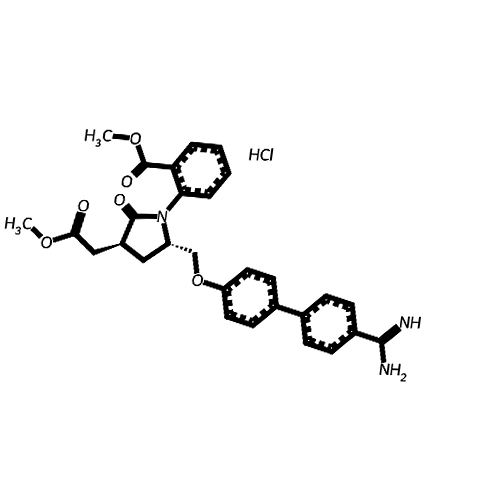 COC(=O)C[C@@H]1C[C@@H](COc2ccc(-c3ccc(C(=N)N)cc3)cc2)N(c2ccccc2C(=O)OC)C1=O.Cl